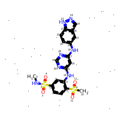 CNS(=O)(=O)c1ccc(S(C)(=O)=O)c(Nc2cc(Nc3ccc4[nH]ncc4c3)ncn2)c1